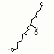 O=NC(CSCCO)CSCCCCO